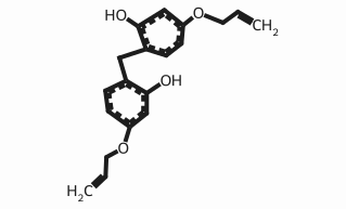 C=CCOc1ccc(Cc2ccc(OCC=C)cc2O)c(O)c1